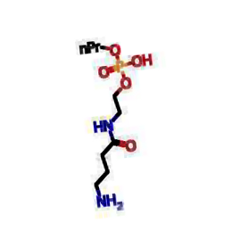 [CH2][CH]COP(=O)(O)OCCNC(=O)CCCN